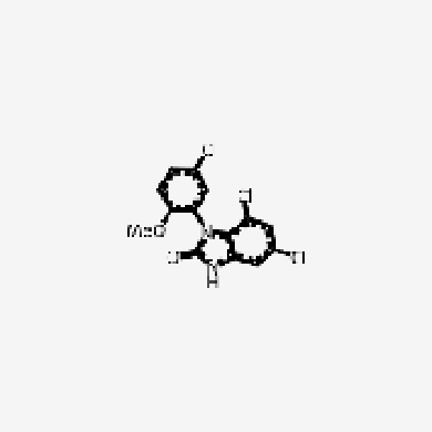 COc1ccc(Cl)cc1-n1c(=O)[nH]c2cc(Cl)cc(Cl)c21